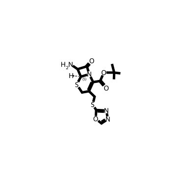 CC(C)(C)OC(=O)C1=C(CSc2nnco2)CS[C@H]2C(N)C(=O)N12